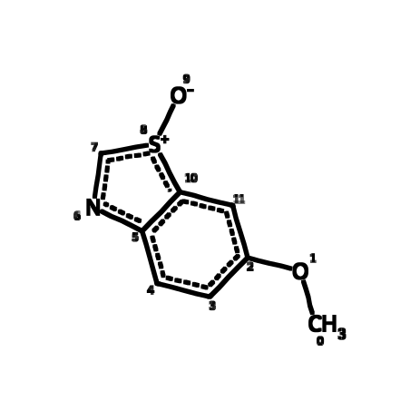 COc1ccc2nc[s+]([O-])c2c1